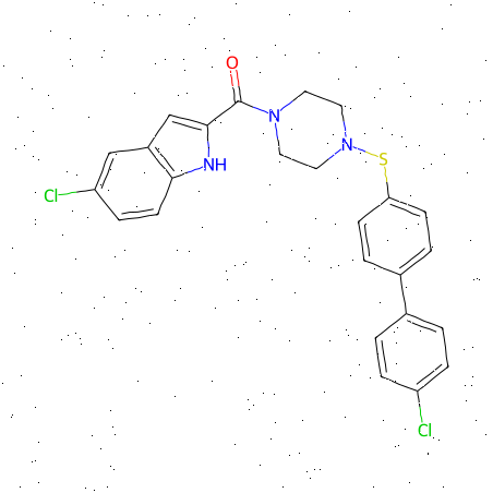 O=C(c1cc2cc(Cl)ccc2[nH]1)N1CCN(Sc2ccc(-c3ccc(Cl)cc3)cc2)CC1